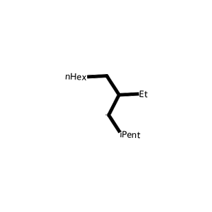 CCCCCCCC([CH]C(C)CCC)CC